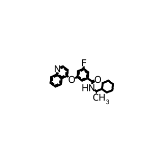 C[C@@H](NC(=O)c1cc(F)cc(Oc2ccnc3ccccc23)c1)C1CCCCC1